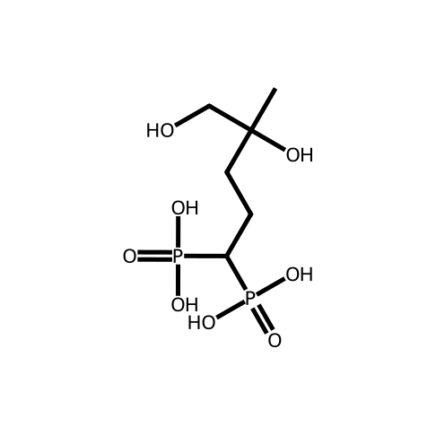 CC(O)(CO)CCC(P(=O)(O)O)P(=O)(O)O